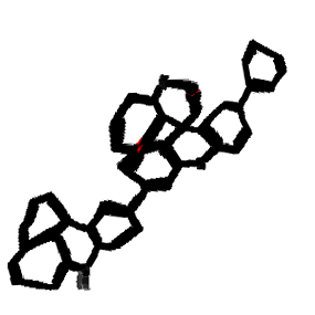 C1=CCCC(Nc2ccc(-c3ccc4c(c3)Sc3ccc(-c5ccccc5)cc3C43c4ccccc4Sc4ccccc43)cc2-c2ccccc2)=C1